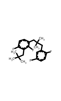 CC(C)(C)Cc1c(F)ccc(CC(C)(C)Cc2cc(F)ccc2F)c1F